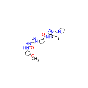 COc1cccc(NC(=O)Nc2cnn(-c3cccc(C(=O)Nc4cnn(CCN5CCCCC5)c4C)c3)c2)c1